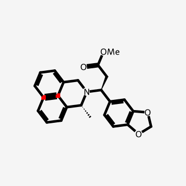 COC(=O)C[C@@H](c1ccc2c(c1)OCO2)N(Cc1ccccc1)[C@H](C)c1ccccc1